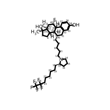 C[C@]1(O)CC[C@H]2[C@@H]3[C@H](CCCCCN4CCC[C@H]4CCCCCCC(F)(F)C(F)(F)F)Cc4cc(O)ccc4[C@H]3[C@@H](F)C[C@@]21C